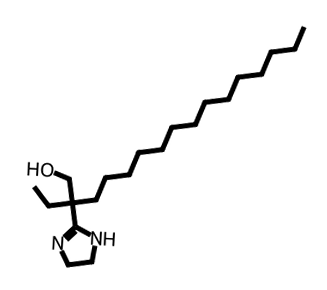 CCCCCCCCCCCCCCC(CC)(CO)C1=NCCN1